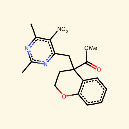 COC(=O)C1(Cc2nc(C)nc(C)c2[N+](=O)[O-])CCOc2ccccc21